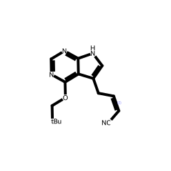 CC(C)(C)COc1ncnc2[nH]cc(C/C=C\C#N)c12